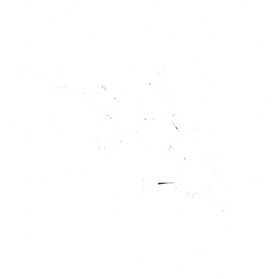 CC(C)(C)[C@@H](C(=O)N1C[C@H](O)C[C@H]1C(=O)N[C@@H]1CCC(=O)N[C@H]1C1CC1)n1cc(C2CC2)nn1